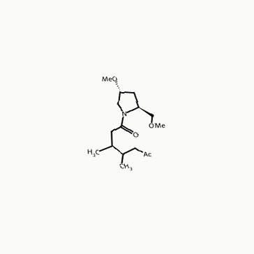 COC[C@@H]1C[C@@H](OC)CN1C(=O)CC(C)C(C)CC(C)=O